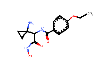 CCOc1ccc(C(=O)NC(C(=O)NO)C2(N)CC2)cc1